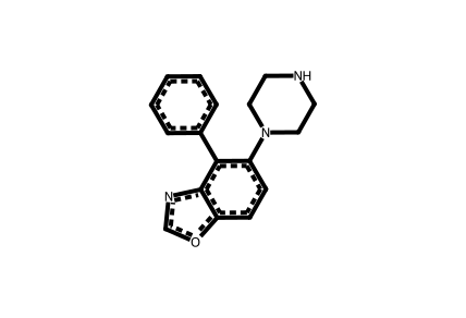 c1ccc(-c2c(N3CCNCC3)ccc3ocnc23)cc1